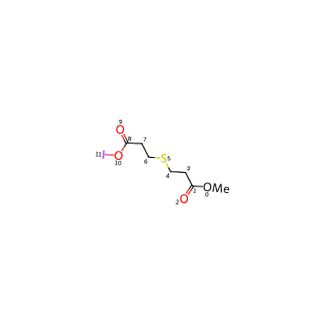 COC(=O)CCSCCC(=O)OI